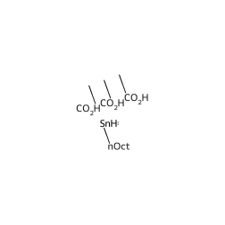 CC(=O)O.CC(=O)O.CC(=O)O.CCCCCCC[CH2][SnH]